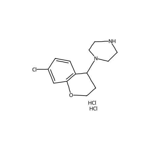 Cl.Cl.Clc1ccc2c(c1)OCCC2N1CCNCC1